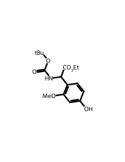 CCOC(=O)C(NC(=O)OC(C)(C)C)c1ccc(O)cc1OC